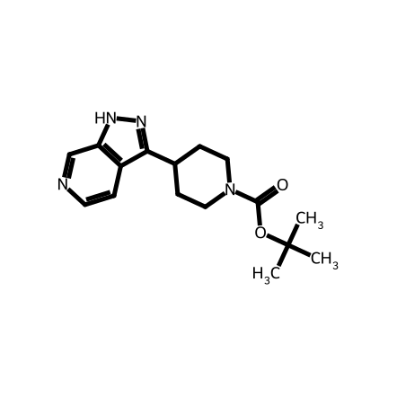 CC(C)(C)OC(=O)N1CCC(c2n[nH]c3cnccc23)CC1